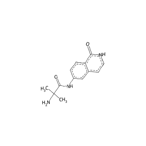 CC(C)(N)C(=O)Nc1ccc2c(=O)[nH]ccc2c1